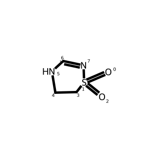 O=S1(=O)CCN[C]=N1